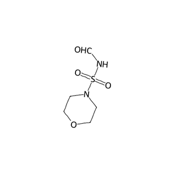 O=CNS(=O)(=O)N1CCOCC1